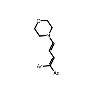 CC(=O)C(=CC=CN1CCOCC1)C(C)=O